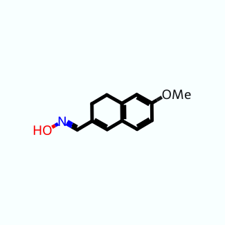 COc1ccc2c(c1)CCC(C=NO)=C2